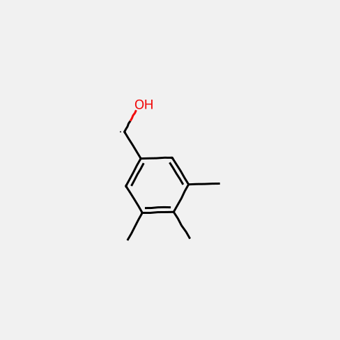 Cc1cc([CH]O)cc(C)c1C